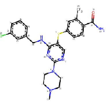 CN1CCN(c2ncc(Sc3ccc(C(N)=O)c(C(F)(F)F)c3)c(NCc3cccc(Cl)c3)n2)CC1